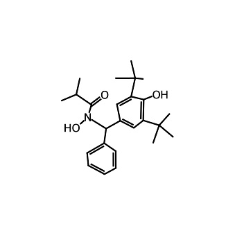 CC(C)C(=O)N(O)C(c1ccccc1)c1cc(C(C)(C)C)c(O)c(C(C)(C)C)c1